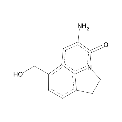 Nc1cc2c(CO)ccc3c2n(c1=O)CC3